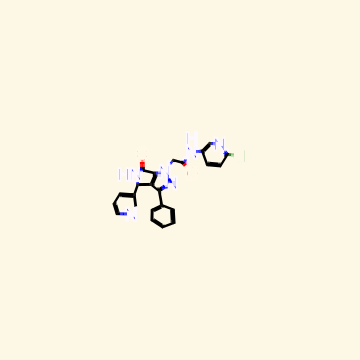 O=C(Cn1nc(-c2ccccc2)c2c1C(=O)NC2c1cccnc1)Nc1ccc(Cl)nc1